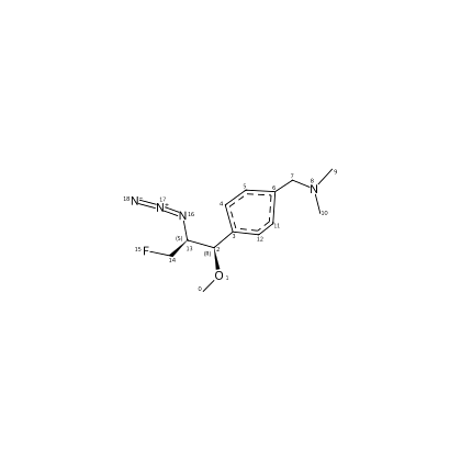 CO[C@H](c1ccc(CN(C)C)cc1)[C@@H](CF)N=[N+]=[N-]